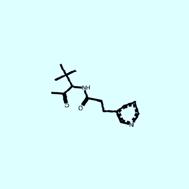 CC(=O)C(NC(=O)CCc1cccnc1)C(C)(C)C